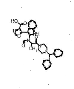 CC(C(=O)N1CCN(C(c2ccccc2)c2ccccc2)CC1)N(C=O)c1[nH]c2ccccc2c1-c1ocnc1C(=O)O